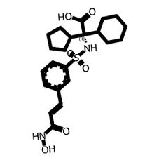 O=C(C=Cc1cccc(S(=O)(=O)N[C@](C(=O)O)(C2CCCCC2)C2CCCC2)c1)NO